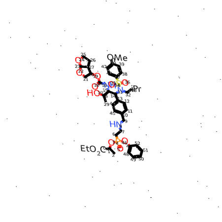 CCOC(=O)C(C)OP(=O)(CCNCc1ccc(C(C(NC(=O)OC2COC3OCCC23)C(C)O)N(CC(C)C)S(=O)(=O)c2ccc(OC)cc2)cc1)Oc1ccccc1